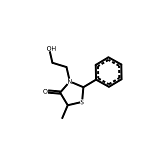 CC1SC(c2ccccc2)N(CCO)C1=O